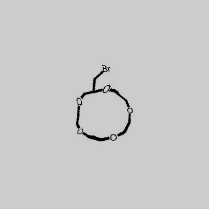 BrCC1COCCOCCOCCOCCO1